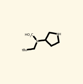 CC(C)(C)CN(C(=O)O)C1CCNC1